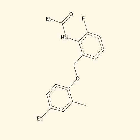 CCC(=O)Nc1c(F)cccc1COc1ccc(CC)cc1C